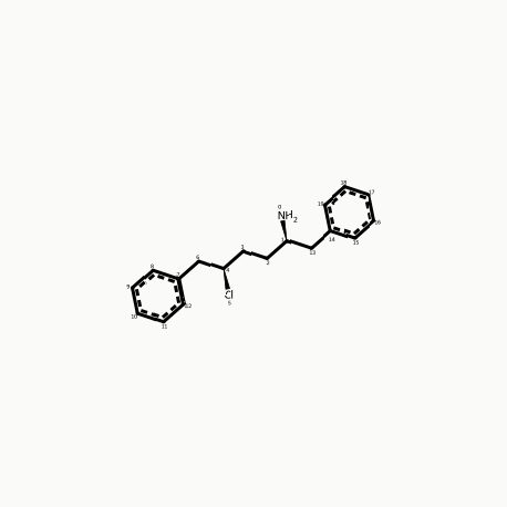 N[C@H](CC[C@@H](Cl)Cc1ccccc1)Cc1ccccc1